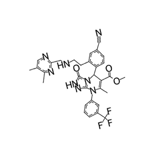 COC(=O)C1=C(C)N(c2cccc(C(F)(F)F)c2)c2n[nH]c(=O)n2C1c1ccc(C#N)cc1CCNCc1ncc(C)c(C)n1